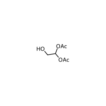 CC(=O)OC(CO)OC(C)=O